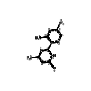 O=c1cc(C(F)(F)F)nc(-c2ncc(C(F)(F)F)cc2[N+](=O)[O-])[nH]1